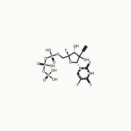 C#CC1(O)[C@@H](O)[C@@](F)(COP(=O)(O)OP(=O)(O)OP(=O)(O)O)O[C@H]1n1cc(F)c(=S)[nH]c1=S